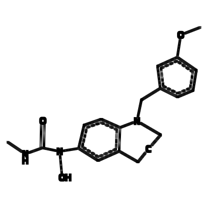 CNC(=O)N(O)c1ccc2c(c1)CCCN2Cc1cccc(OC)c1